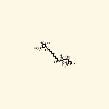 CC/C=C/[C@@H](OC(N)=O)[C@@H](C)[C@H](O)CC(=O)[C@@H](O)[C@H](O)[C@H](C)/C(Cl)=C/C=C/C=C(C)/C=C/C=C/C(=O)OC1CC(C(=O)O)CC(O)C1O